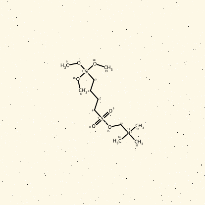 CO[Si](CCCCS(=O)(=O)OC[N+](C)(C)C)(OC)OC